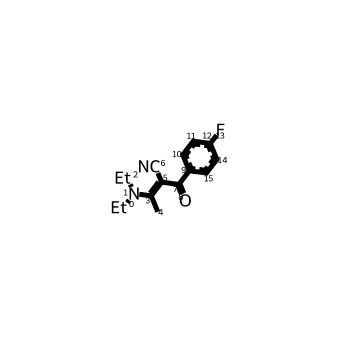 CCN(CC)/C(C)=C(\C#N)C(=O)c1ccc(F)cc1